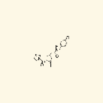 O=C(CC1CN[C@H](C(=O)N2CCSC2)C1)NCc1ccc(Cl)cc1